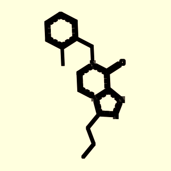 CCCc1nnc2c(=O)n(Cc3ccccc3C)ccn12